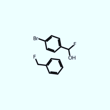 FCc1ccccc1.OC(F)c1ccc(Br)cc1